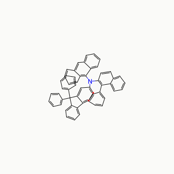 c1ccc(-c2c(N(c3ccc4c(c3)C(c3ccccc3)(c3ccccc3)c3ccccc3-4)c3c4ccccc4cc4ccccc34)ccc3ccccc23)cc1